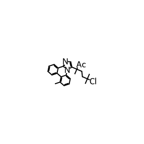 CC(=O)C(C)(CCC(C)(C)Cl)c1cnc2c3ccccc3c3c(C)cccc3n12